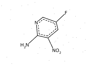 Nc1ncc(F)cc1[N+](=O)[O-]